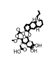 CCCN1CCC[C@@H]2Cc3c(ccc(OC(C)=O)c3O[C@@H]3O[C@H](C(=O)OC)[C@@H](CC(=O)O)[C@H](CC(=O)O)[C@H]3CC(=O)O)C[C@H]21